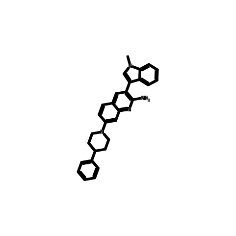 Cn1cc(-c2cc3ccc(N4CCC(c5ccccc5)CC4)cc3nc2N)c2ccccc21